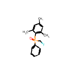 Cc1cc(C)c([P@](=O)(CF)c2ccccc2)c(C)c1